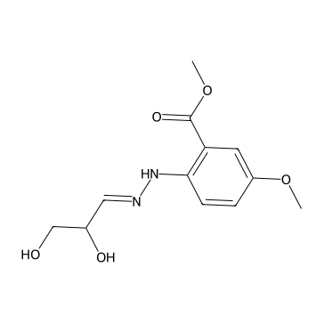 COC(=O)c1cc(OC)ccc1N/N=C/C(O)CO